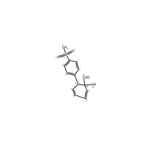 CS(=O)(=O)c1ccc(N2C=CC=CC2(O)C=O)cc1